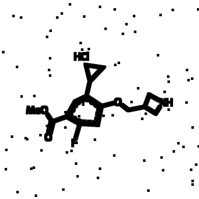 COC(=O)c1cc(C2CC2)c(OCC2CNC2)cc1F.Cl